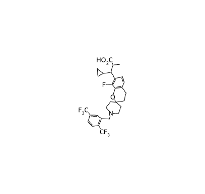 CC(C(=O)O)C(c1ccc2c(c1F)OC1(CC2)CCN(Cc2cc(C(F)(F)F)ccc2C(F)(F)F)CC1)C1CC1